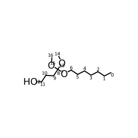 CCCCCCCOC(CCCO)(OC)OC